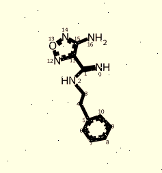 N=C(NCCc1ccccc1)c1nonc1N